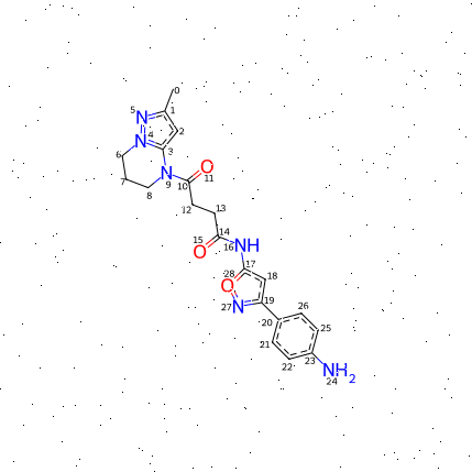 Cc1cc2n(n1)CCCN2C(=O)CCC(=O)Nc1cc(-c2ccc(N)cc2)no1